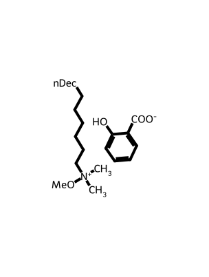 CCCCCCCCCCCCCCCC[N+](C)(C)OC.O=C([O-])c1ccccc1O